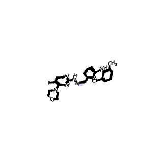 Cc1cccc(Cl)c1Nc1cccc(/C=N\Nc2ncc(I)c(N3CCOCC3)n2)n1